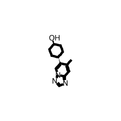 Cc1cc2ncnn2cc1[C@H]1CC[C@H](O)CC1